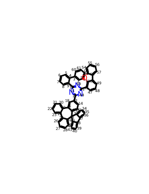 c1ccc(-c2ccccc2-c2nc(-c3ccc4c(c3)-c3ccccc3-c3ccccc3C43c4ccccc4-c4ccccc43)nc(-c3cccc4c3oc3ccccc34)n2)cc1